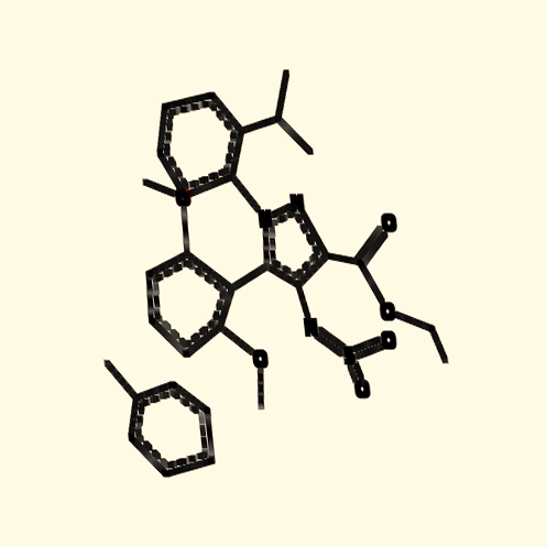 CCOC(=O)c1nn(-c2ccccc2C(C)C)c(-c2c(OC)cccc2OC)c1N=S(=O)=O.Cc1ccccc1